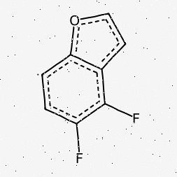 Fc1c[c]c2occc2c1F